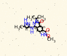 CONC(=O)c1ccc2c(Nc3cc(C)[nH]n3)nn(C(C)C)c(=O)c2c1